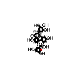 CC(O)C1(c2cc(O)cc(O)c2)Oc2cc(O)cc(O)c2-c2c(cc(O)c3c2OC(c2cc(O)c(O)c(O)c2)C(O)C3=O)O1